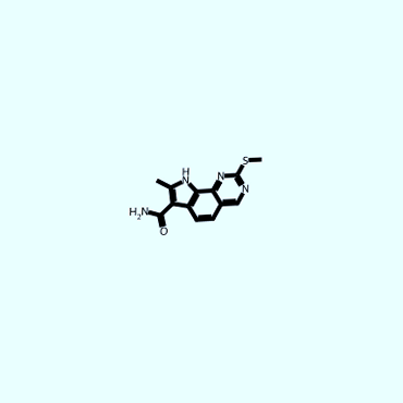 CSc1ncc2ccc3c(C(N)=O)c(C)[nH]c3c2n1